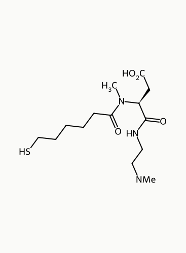 CNCCNC(=O)[C@H](CC(=O)O)N(C)C(=O)CCCCCS